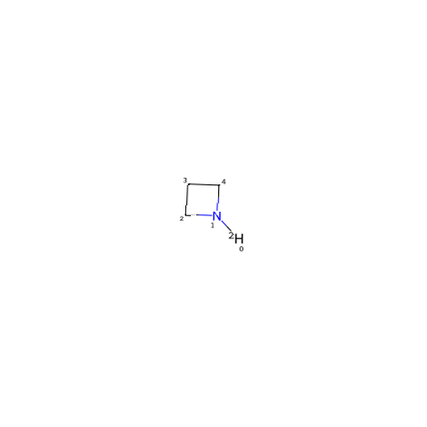 [2H]N1CCC1